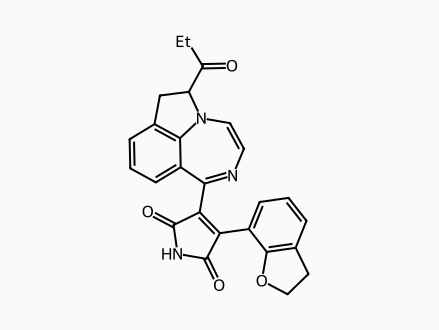 CCC(=O)C1Cc2cccc3c2N1C=CN=C3C1=C(c2cccc3c2OCC3)C(=O)NC1=O